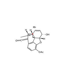 CC(=O)Oc1ccc2c3c1O[C@H]1[C@@H](O)C=C[C@H]4[C@@H](C2=C=O)N(C)CC[C@@]341.[Rh]